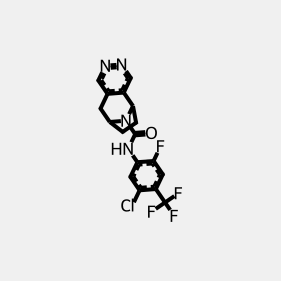 O=C(Nc1cc(Cl)c(C(F)(F)F)cc1F)N1C2CCC1c1cnncc1C2